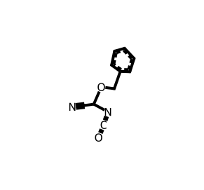 N#CC(N=C=O)OCc1ccccc1